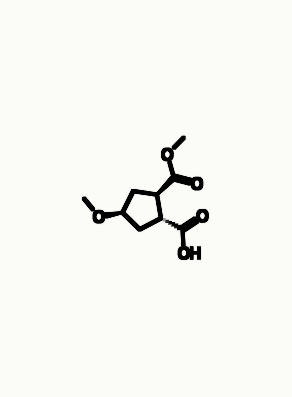 COC(=O)[C@@H]1C[C@H](OC)C[C@H]1C(=O)O